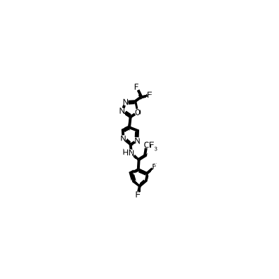 Fc1ccc(C(CC(F)(F)F)Nc2ncc(-c3nnc(C(F)F)o3)cn2)c(F)c1